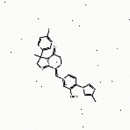 COc1cc(/C=C2\CCC(=O)N3C2=NCC3(C)c2ccc(F)cc2)ccc1-n1cnc(C)c1